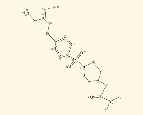 CN(C)C(=O)CC1CCN(S(=O)(=O)c2ccc(OC/C(=C\F)CN)nc2)CC1